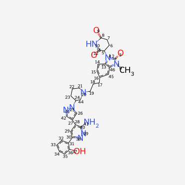 Cn1c(=O)n(C2CCC(=O)NC2=O)c2ccc(CCCN3CCCC(n4cc(-c5cc(-c6ccccc6O)nnc5N)cn4)C3)cc21